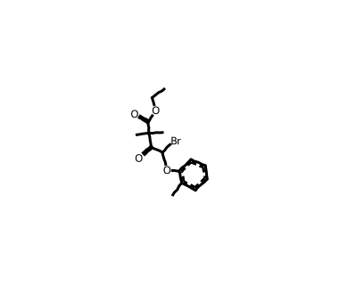 CCOC(=O)C(C)(C)C(=O)C(Br)Oc1ccccc1C